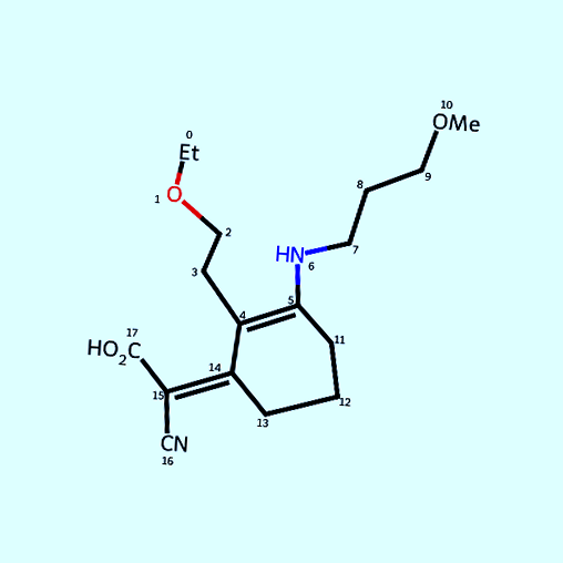 CCOCCC1=C(NCCCOC)CCCC1=C(C#N)C(=O)O